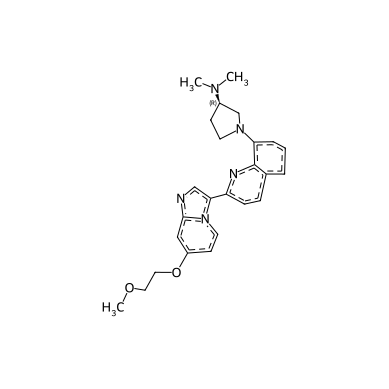 COCCOc1ccn2c(-c3ccc4cccc(N5CC[C@@H](N(C)C)C5)c4n3)cnc2c1